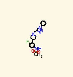 CS(=O)(=O)Nc1ccc(F)c(C2CCN(Cc3cn(-c4ccccc4)nn3)CC2)c1